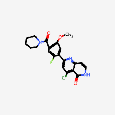 COc1cc(-c2cc(Cl)c3c(=O)[nH]ccc3n2)c(F)cc1C(=O)N1CCCCC1